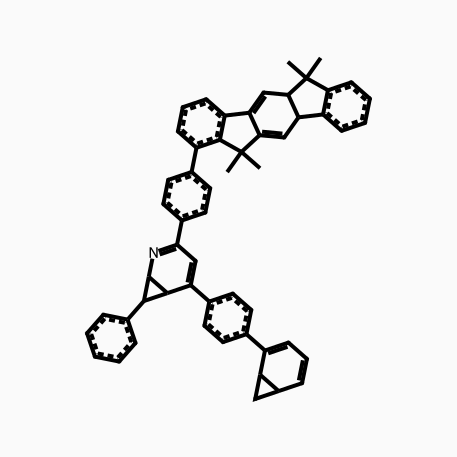 CC1(C)C2=CC3c4ccccc4C(C)(C)C3C=C2c2cccc(-c3ccc(C4=NC5C(C(c6ccc(C7=CC=CC8CC78)cc6)=C4)C5c4ccccc4)cc3)c21